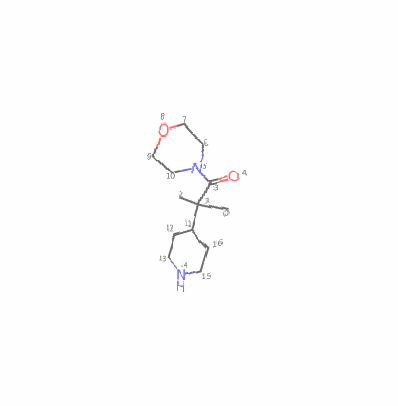 CC(C)(C(=O)N1CCOCC1)C1CCNCC1